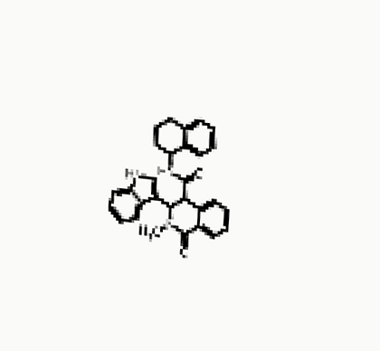 CN1C(=O)c2ccccc2C(C(=O)NC2CCCc3ccccc32)C1c1c[nH]c2ccccc12